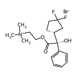 C[N+](C)(C)CCOC(=O)[C@](O)(c1ccccc1)[C@@H]1CCC(F)(F)C1.[Br-]